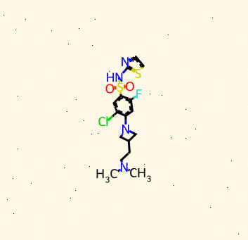 CN(C)CCC1CN(c2cc(F)c(S(=O)(=O)Nc3nccs3)cc2Cl)C1